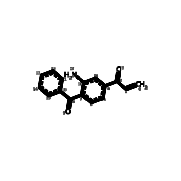 C=CC(=O)c1ccc(C(=O)c2ccccc2)c(N)c1